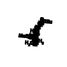 COc1ccc(N(C(=O)Oc2c(C)cccc2C)c2ccnc(Nc3ccc(N4CCN(C(=O)OCC(C)C)CC4)cc3)n2)cc1